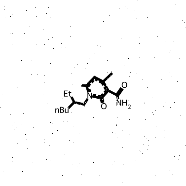 CCCCC(CC)Cn1c(C)cc(C)c(C(N)=O)c1=O